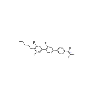 CCCCCc1c(F)cc(-c2ccc(-c3ccc(/C(F)=C(/C)F)cc3)cc2F)cc1F